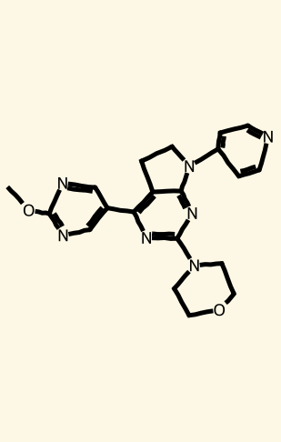 COc1ncc(-c2nc(N3CCOCC3)nc3c2CCN3c2ccncc2)cn1